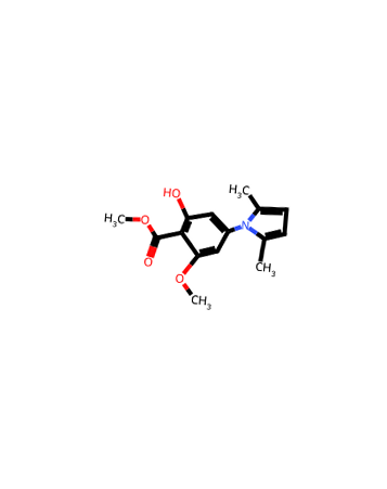 COC(=O)c1c(O)cc(-n2c(C)ccc2C)cc1OC